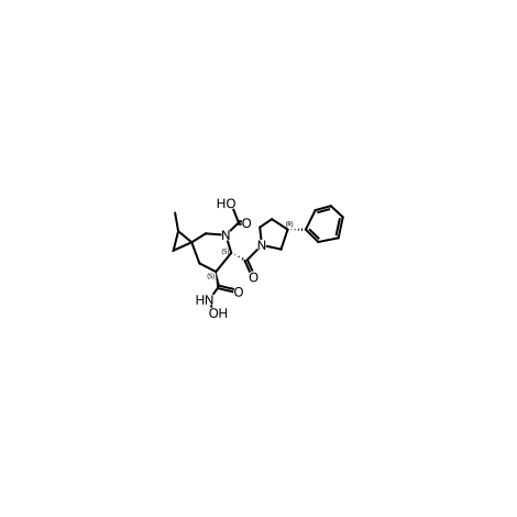 CC1CC12C[C@H](C(=O)NO)[C@@H](C(=O)N1CC[C@H](c3ccccc3)C1)N(C(=O)O)C2